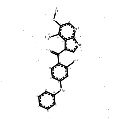 CCOc1cnc2[nH]cc(C(=O)c3ccc(Oc4ccccc4)cc3F)c2c1N